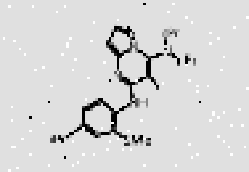 CCCN(CCC)c1c(C)c(Nc2ccc(C(C)C)cc2SC)nc2ccnn12